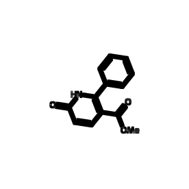 COC(=O)c1ccc(=O)[nH]c1-c1ccccc1